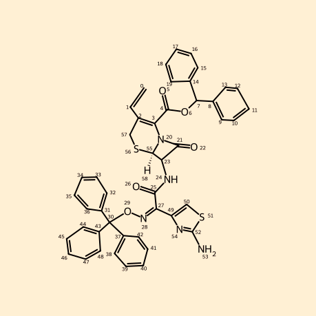 C=CC1=C(C(=O)OC(c2ccccc2)c2ccccc2)N2C(=O)C(NC(=O)/C(=N\OC(c3ccccc3)(c3ccccc3)c3ccccc3)c3csc(N)n3)[C@H]2SC1